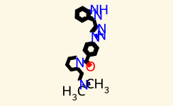 CN(C)CCC1CCCCN1C(=O)c1ccc(-n2cc(-c3n[nH]c4ccccc34)nn2)cc1